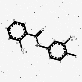 Cc1ccc(NC(=O)c2ccccc2C(F)(F)F)cc1N